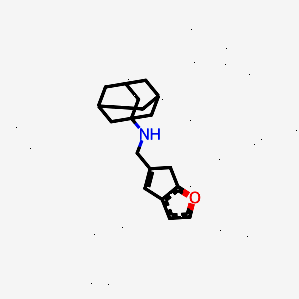 C1=C(CNC23CC4CC(CC(C4)C2)C3)Cc2occc21